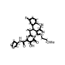 COCCn1cc(C(c2cc(F)ccc2C#N)C(C)c2nc(C(=O)Nc3cnoc3)c(O)c(=O)n2C)c(C)n1